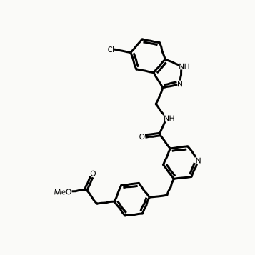 COC(=O)Cc1ccc(Cc2cncc(C(=O)NCc3n[nH]c4ccc(Cl)cc34)c2)cc1